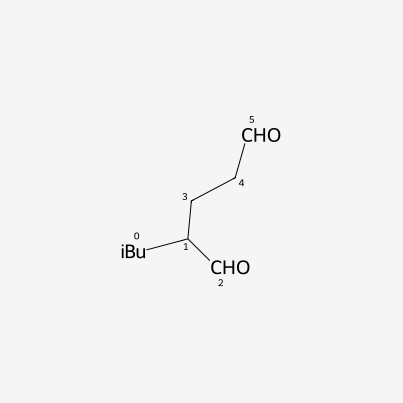 CCC(C)C(C=O)CCC=O